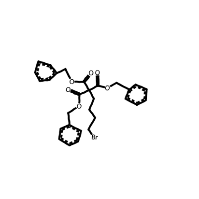 O=C(OCc1ccccc1)C(CCCCBr)(C(=O)OCc1ccccc1)C(=O)OCc1ccccc1